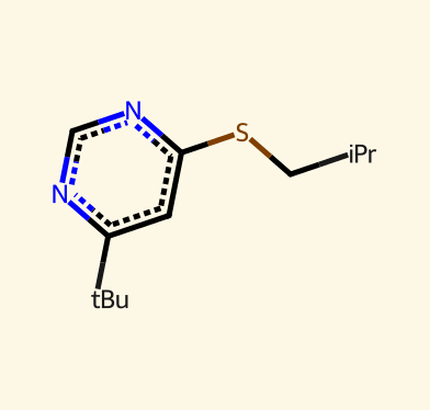 CC(C)CSc1cc(C(C)(C)C)ncn1